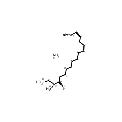 CCCCC/C=C\C/C=C\CCCCCCCC(=O)N(C)CC(=O)O.N